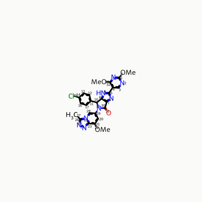 COc1ncc(-c2nc3c([nH]2)C(c2ccc(Cl)cc2)N(c2cc(OC)c4nnc(C)n4c2)C3=O)c(OC)n1